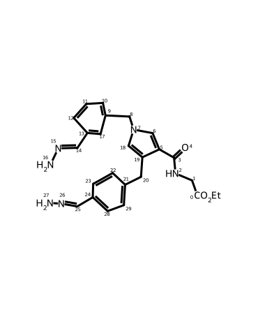 CCOC(=O)CNC(=O)c1cn(Cc2cccc(C=NN)c2)cc1Cc1ccc(C=NN)cc1